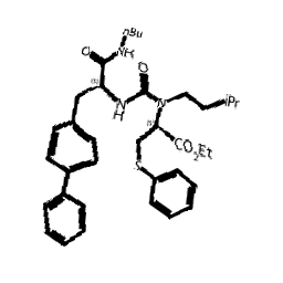 CCCCNC(=O)[C@H](Cc1ccc(-c2ccccc2)cc1)NC(=O)N(CCC(C)C)[C@H](CSc1ccccc1)C(=O)OCC